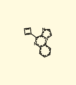 C1=CC(c2nc3ccccc3n3ccnc23)=C1